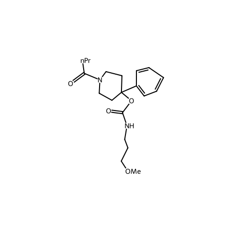 CCCC(=O)N1CCC(OC(=O)NCCCOC)(c2ccccc2)CC1